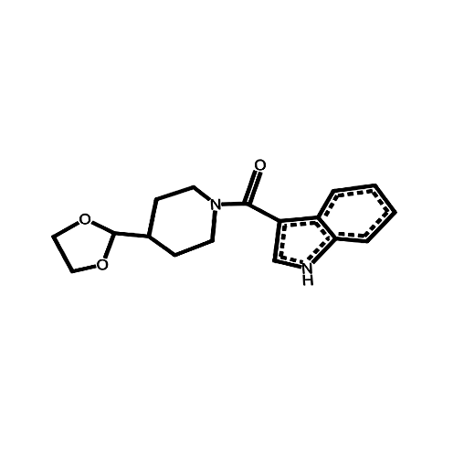 O=C(c1c[nH]c2ccccc12)N1CCC(C2OCCO2)CC1